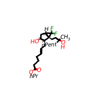 CCCCCC(C)(O)CC[C@]12[C@H](C[C@H](O)[C@@H]1CC=CCCCC(=O)OCCC)C2(F)F